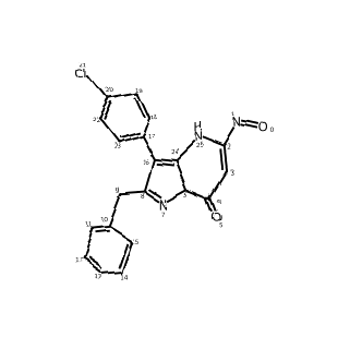 O=NC1=CC(=O)C2N=C(Cc3ccccc3)C(c3ccc(Cl)cc3)=C2N1